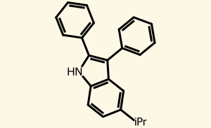 CC(C)c1ccc2[nH]c(-c3ccccc3)c(-c3ccccc3)c2c1